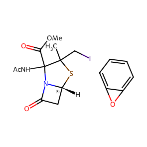 COC(=O)C1(NC(C)=O)N2C(=O)C[C@H]2SC1(C)CI.c1ccc2c(c1)O2